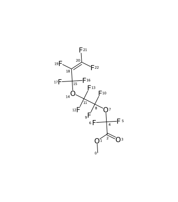 COC(=O)C(F)(F)OC(F)(F)C(F)(F)OC(F)(F)C(F)=C(F)F